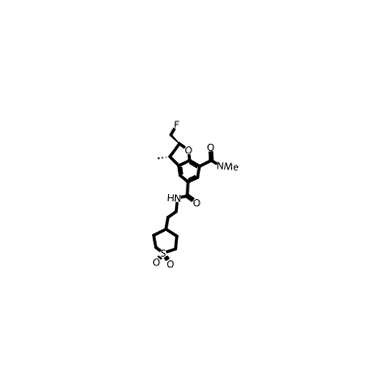 CNC(=O)c1cc(C(=O)NCCC2CCS(=O)(=O)CC2)cc2c1O[C@H](CF)[C@H]2C